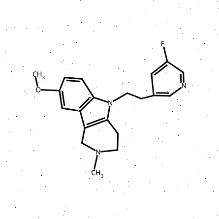 COc1ccc2c(c1)c1c(n2CCc2cncc(F)c2)CCN(C)C1